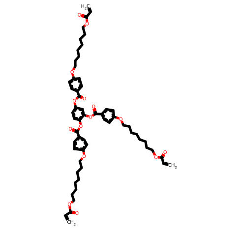 C=CC(=O)OCCCCCCCCOc1ccc(C(=O)Oc2ccc(OC(=O)c3ccc(OCCCCCCCCOC(=O)C=C)cc3)c(OC(=O)c3ccc(OCCCCCCCCOC(=O)C=C)cc3)c2)cc1